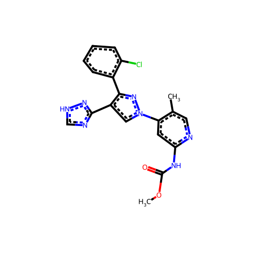 COC(=O)Nc1cc(-n2cc(-c3nc[nH]n3)c(-c3ccccc3Cl)n2)c(C)cn1